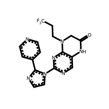 O=C1CN(CCC(F)(F)F)c2nc(-n3ccnc3-c3ccncc3)ncc2N1